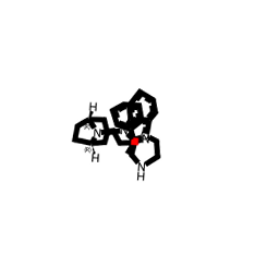 Cc1nc2ccccc2n1C1C[C@H]2CC[C@H](C1)N2CCC1(c2ccccc2)CNCCO1